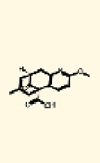 COc1ccc2c(n1)C[C@@H]1C=C(C)C[C@@]2(C(=O)O)C1=O